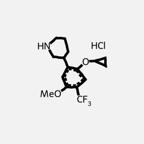 COc1cc(C2CCCNC2)c(OC2CC2)cc1C(F)(F)F.Cl